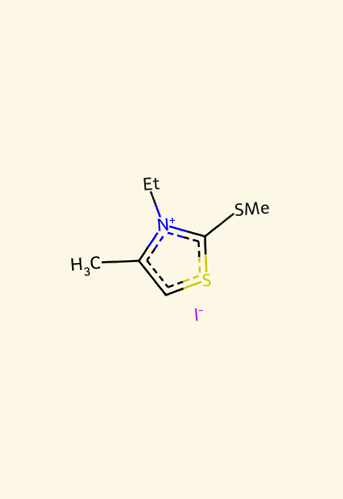 CC[n+]1c(C)csc1SC.[I-]